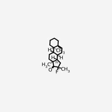 C[C@]1(F)C[C@H]2[C@@H]3CC=C4CCCC[C@]4(C)[C@H]3CC[C@]2(C)C1=O